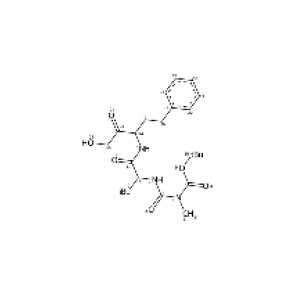 CCC(C)C(NC(=O)N(C)C(=O)OC(C)(C)C)C(=O)NC(CCc1ccccc1)C(=O)CO